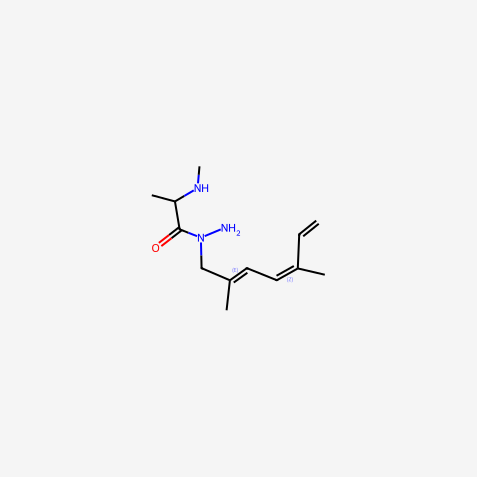 C=C/C(C)=C\C=C(/C)CN(N)C(=O)C(C)NC